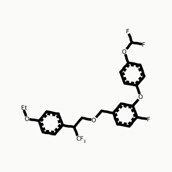 CCOc1ccc(C(COCc2ccc(F)c(Oc3ccc(OC(F)F)cc3)c2)C(F)(F)F)cc1